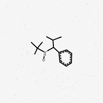 CC(C)C(c1ccccc1)[NH+]([O-])C(C)(C)C